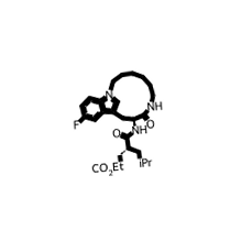 CCOC(=O)C[C@@H](CC(C)C)C(=O)N[C@H]1Cc2cn(c3ccc(F)cc23)CCCCCCNC1=O